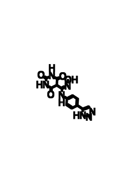 O=C1NC(=O)C(/C(=N\O)Nc2ccc(-c3cnn[nH]3)cc2)C(=O)N1